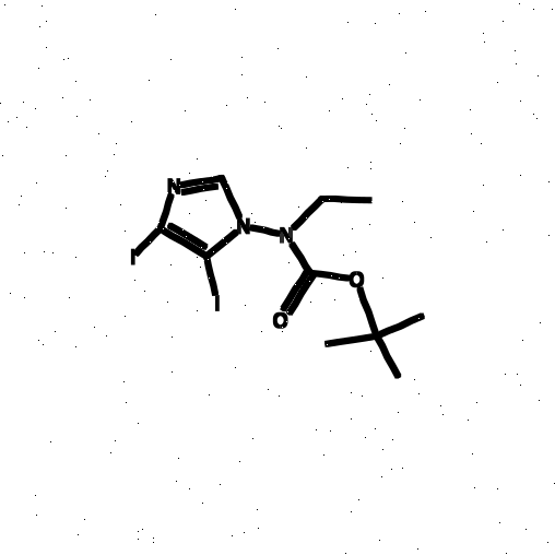 CCN(C(=O)OC(C)(C)C)n1cnc(I)c1I